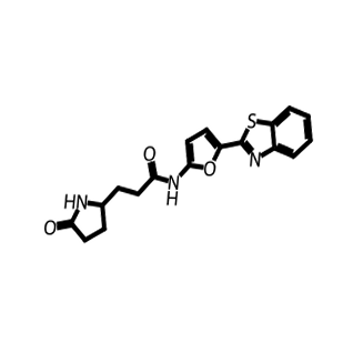 O=C(CCC1CCC(=O)N1)Nc1ccc(-c2nc3ccccc3s2)o1